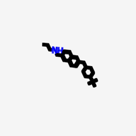 CCCNCc1ccc2cc(CC3CCC(C(C)(C)C)CC3)ccc2c1